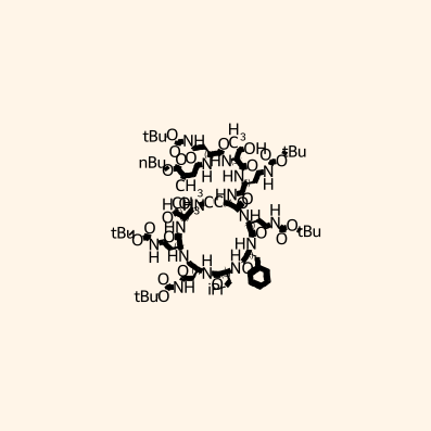 CCCCOC(=O)C(C)CC(=O)N[C@@H](CCNC(=O)OC(C)(C)C)C(=O)N[C@H](C(=O)N[C@@H](CCNC(=O)OC(C)(C)C)C(=O)N[C@H]1CCNC(=O)[C@H]([C@H](C)O)NC(=O)[C@H](CCNC(=O)OC(C)(C)C)NC(=O)[C@H](CCNC(=O)OC(C)(C)C)NC(=O)[C@H](CC(C)C)NC(=O)[C@@H](Cc2ccccc2)NC(=O)[C@H](CCNC(=O)OC(C)(C)C)NC1=O)C(C)O